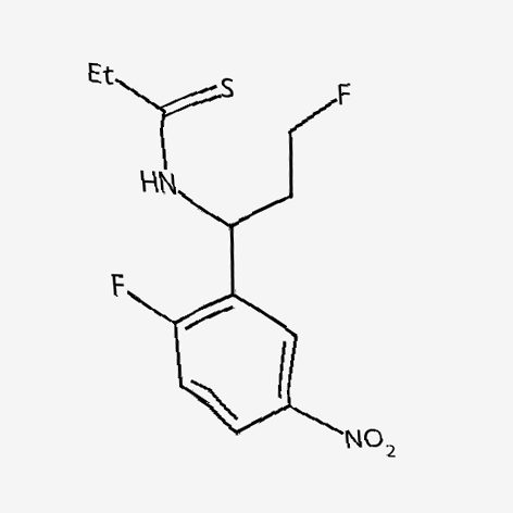 CCC(=S)NC(CCF)c1cc([N+](=O)[O-])ccc1F